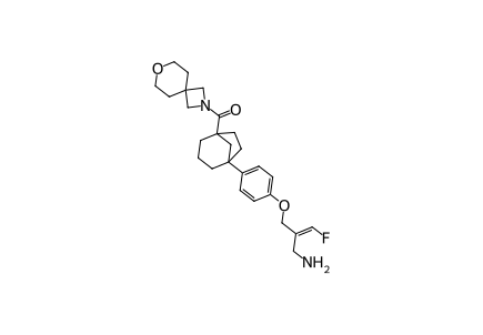 NCC(=CF)COc1ccc(C23CCCC(C(=O)N4CC5(CCOCC5)C4)(CC2)C3)cc1